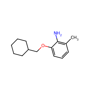 Cc1cccc(OCC2CCCCC2)c1N